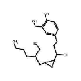 CCCCC(CO)CC1OC1C(O)CCc1ccc(O)c(CO)c1